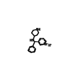 [Br-].[H+].c1ccc(C(NC2CCNCC2)c2ccccc2)cc1